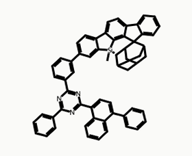 C[Si]1(C)c2cc(-c3cccc(-c4nc(-c5ccccc5)nc(-c5ccc(-c6ccccc6)c6ccccc56)n4)c3)ccc2-c2ccc3c(c21)C1(c2ccccc2-3)C2CC3CC(C2)CC1C3